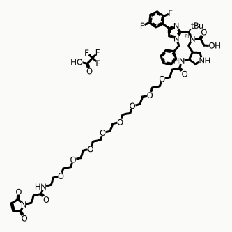 CC(C)(C)[C@H](c1nc(-c2cc(F)ccc2F)cn1Cc1ccccc1)N(CC1CNCC1NC(=O)CCOCCOCCOCCOCCOCCOCCOCCOCCNC(=O)CCN1C(=O)C=CC1=O)C(=O)CO.O=C(O)C(F)(F)F